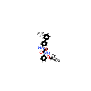 CCCCC(CC)COc1ccccc1NC(=O)C(=O)Nc1ccc(-c2cccc(C(F)(F)F)c2)cc1